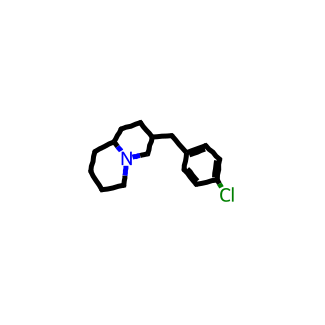 Clc1ccc(CC2CCC3CCCCN3C2)cc1